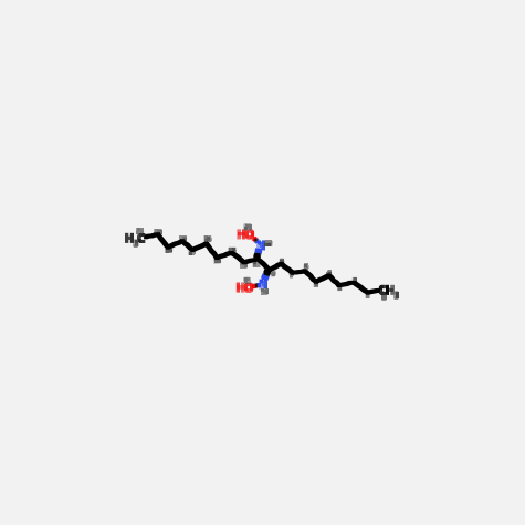 CCCCCCCCCC(=NO)C(CCCCCCCCC)=NO